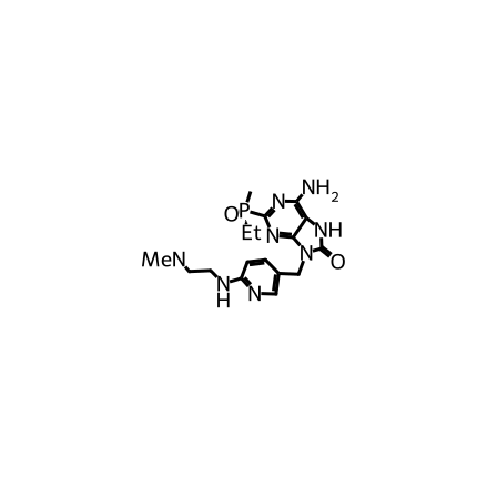 CC[P@@](C)(=O)c1nc(N)c2[nH]c(=O)n(Cc3ccc(NCCNC)nc3)c2n1